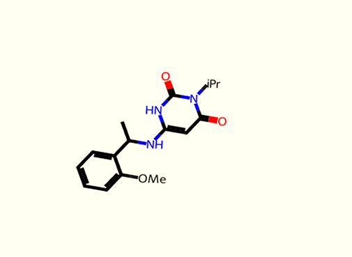 COc1ccccc1C(C)Nc1cc(=O)n(C(C)C)c(=O)[nH]1